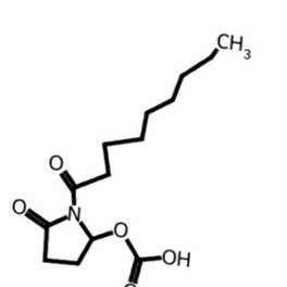 CCCCCCCCC(=O)N1C(=O)CCC1OC(=O)O